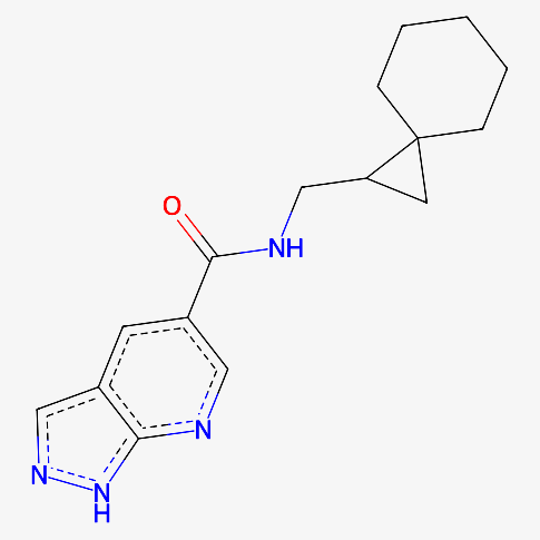 O=C(NCC1CC12CCCCC2)c1cnc2[nH]ncc2c1